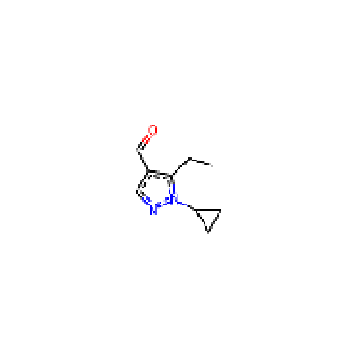 CCc1c(C=O)cnn1C1CC1